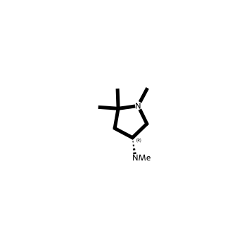 CN[C@H]1CN(C)C(C)(C)C1